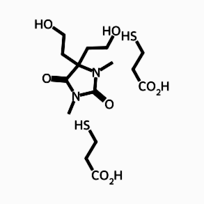 CN1C(=O)N(C)C(CCO)(CCO)C1=O.O=C(O)CCS.O=C(O)CCS